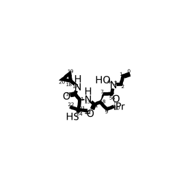 C=CCN(O)C(=O)C[C@@H](CC(C)C)C(=O)N[C@@H](C(=O)NC1CC1)C(C)(C)S